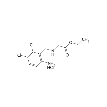 CCOC(=O)CNCc1c(N)ccc(Cl)c1Cl.Cl